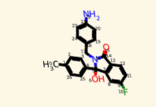 Cc1ccc(C2(O)c3cc(F)ccc3C(=O)N2Cc2ccc(N)cc2)cc1